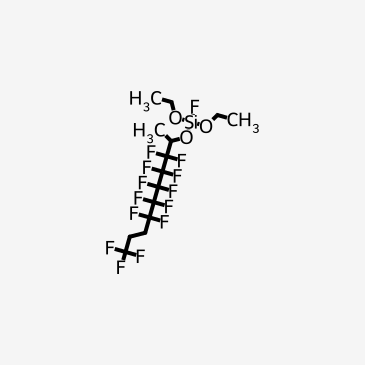 CCO[Si](F)(OCC)OC(C)C(F)(F)C(F)(F)C(F)(F)C(F)(F)C(F)(F)CCC(F)(F)F